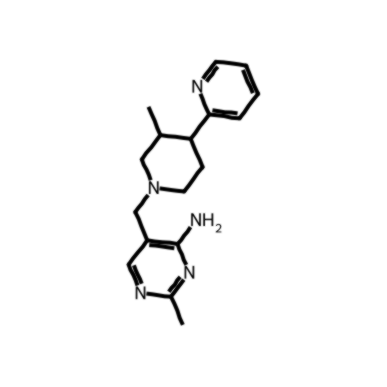 Cc1ncc(CN2CCC(c3ccccn3)C(C)C2)c(N)n1